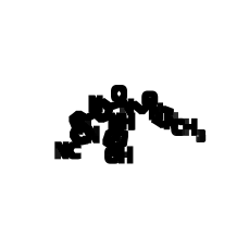 CN1CCN(C(=O)CCNC(=O)c2cnc(-c3ccc4cc(C#N)cnn34)cc2NC23CCC(O)(CC2)CC3)CC1